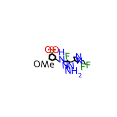 COc1ccc(S(C)(=O)=O)cc1CNc1nc(N)nc(-c2cnn(CC(F)F)c2)c1F